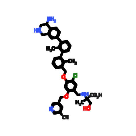 Cc1c(COc2cc(OCc3cncc(C#N)c3)c(CN[C@@](C)(CO)C(=O)O)cc2Cl)cccc1-c1cccc(-c2ccc3c(c2)CNCC3N)c1C